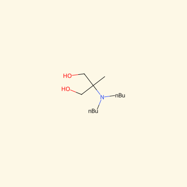 CCCCN(CCCC)C(C)(CO)CO